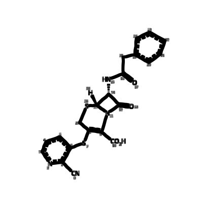 N#Cc1ncccc1SC1=C(C(=O)O)N2C(=O)[C@@H](NC(=O)Cc3ccccc3)[C@H]2SC1